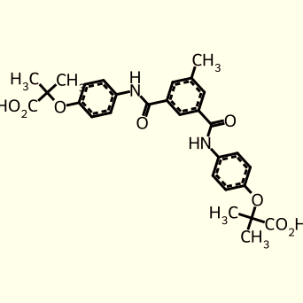 Cc1cc(C(=O)Nc2ccc(OC(C)(C)C(=O)O)cc2)cc(C(=O)Nc2ccc(OC(C)(C)C(=O)O)cc2)c1